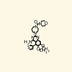 COc1cc2nc(N3CCCN(C(=O)N4CCOCC4)CC3)nc(N)c2c(-c2ccsc2)c1OC